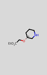 CCOC(=O)CO[C@@H]1CCCNC1